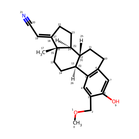 COCc1cc2c(cc1O)CC[C@@H]1[C@@H]2CC[C@]2(C)C(=CC#N)CC[C@@H]12